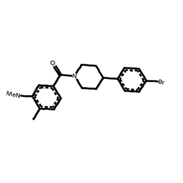 CNc1cc(C(=O)N2CCC(c3ccc(Br)cc3)CC2)ccc1C